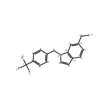 FC(F)(F)c1ccc(Cn2ccc3ccc(CI)cc32)cc1